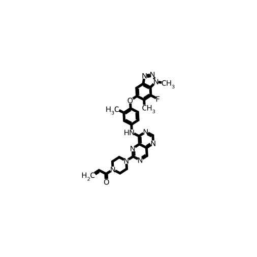 C=CC(=O)N1CCN(c2ncc3ncnc(Nc4ccc(Oc5cc6nnn(C)c6c(F)c5C)c(C)c4)c3n2)CC1